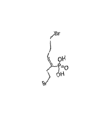 O=P(O)(O)/C(=C\CCBr)CCBr